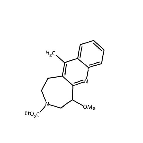 CCOC(=O)N1CCc2c(nc3ccccc3c2C)C(OC)C1